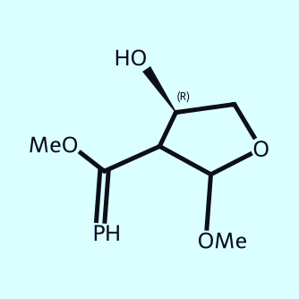 COC(=P)C1C(OC)OC[C@@H]1O